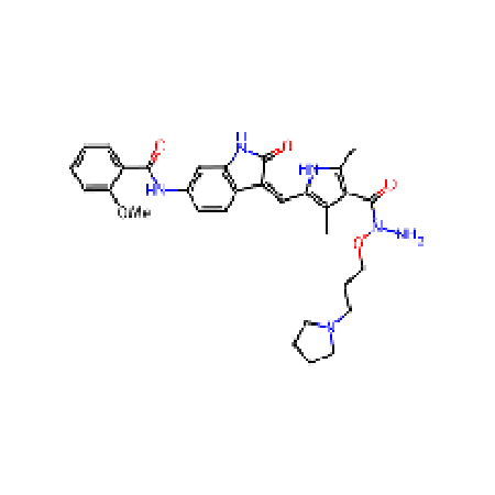 COc1ccccc1C(=O)Nc1ccc2c(c1)NC(=O)/C2=C\c1[nH]c(C)c(C(=O)N(N)OCCCN2CCCC2)c1C